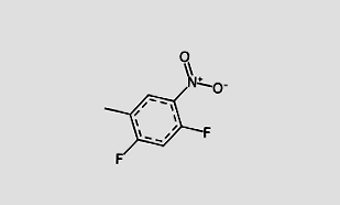 Cc1cc([N+](=O)[O-])c(F)cc1F